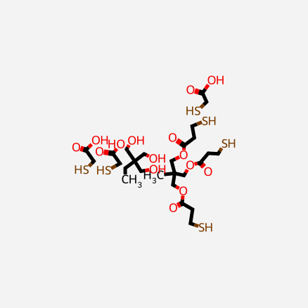 CC(COC(=O)CCS)(COC(=O)CCS)COC(=O)CCS.CCC(CO)(CO)CO.O=C(O)CS.O=C(O)CS.O=C(O)CS